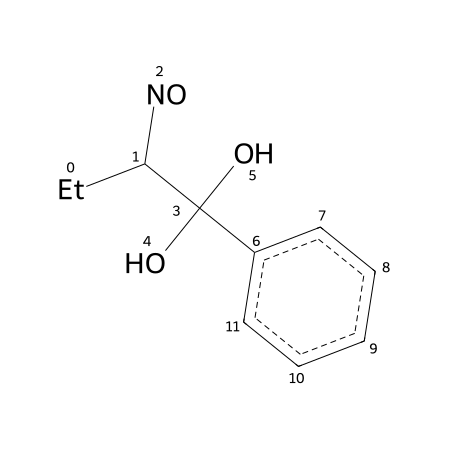 CCC(N=O)C(O)(O)c1ccccc1